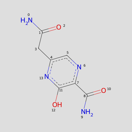 NC(=O)Cc1cnc(C(N)=O)c(O)n1